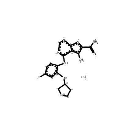 Cc1c(C(N)=O)sc2ncnc(Nc3ccc(F)cc3OC3CCNC3)c12.Cl